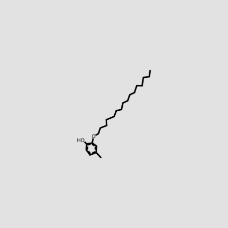 CCCCCCCCCCCCCCCCOc1cc(C)ccc1O